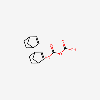 C1=CC2CCC1C2.C1=CC2CCC1C2.O=C(O)OC(=O)O